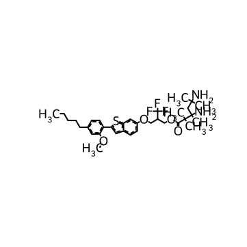 CCCCCc1ccc(-c2cc3ccc(OCC(COC(=O)C(C)(C)C(C)(N)CC(C)(C)N)C(F)(F)F)cc3s2)c(OC)c1